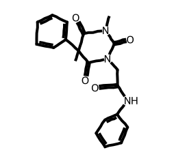 CN1C(=O)N(CC(=O)Nc2ccccc2)C(=O)C(C)(c2ccccc2)C1=O